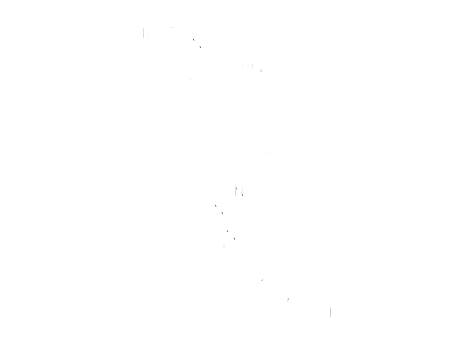 O=C(O)N1CCOC(c2ccc(-n3cc(-c4ccc(F)cc4)nn3)cc2)C1